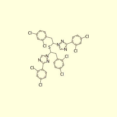 Clc1ccc(CC(SC(Cc2ccc(Cl)cc2Cl)n2cnc(-c3ccc(Cl)cc3Cl)n2)n2cnc(-c3ccc(Cl)cc3Cl)n2)c(Cl)c1